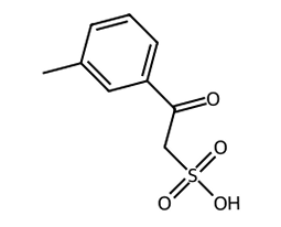 Cc1cccc(C(=O)CS(=O)(=O)O)c1